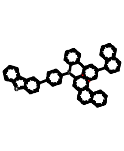 c1cc(-c2ccccc2N(c2ccc(-c3ccc4oc5ccccc5c4c3)cc2)c2ccc3c(ccc4ccccc43)c2)cc(-c2cccc3ccccc23)c1